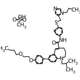 CCCCOCCOc1ccc(-c2ccc3c(c2)C=C(C(=O)Nc2ccc(SCc4cncn4CCC)cc2)CCCN3CC(C)C)cc1.CS(=O)(=O)O